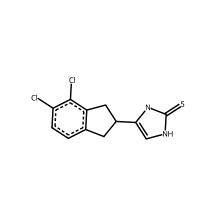 S=C1[N]C(C2Cc3ccc(Cl)c(Cl)c3C2)=CN1